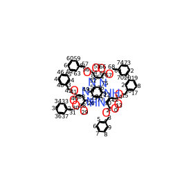 O=C(OCc1ccccc1)C1=C(C(=O)OCc2ccccc2)Nc2c(c3nc(C(=O)OCc4ccccc4)c(C(=O)OCc4ccccc4)nc3c3nc(C(=O)OCc4ccccc4)c(C(=O)OCc4ccccc4)nc23)N1